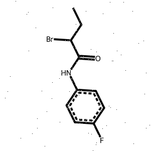 CCC(Br)C(=O)Nc1ccc(F)cc1